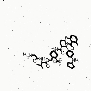 Cc1cccc(F)c1C(=O)N1CCC[C@H](C(=O)Nc2ccc(COC(=O)[C@@H](NC(=O)CN)C(C)C)c(C(F)(F)F)c2)[C@@H]1c1ccc(NC2CCCC2)cc1